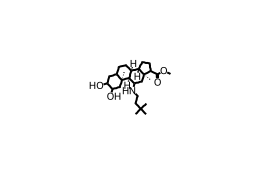 COC(=O)C1CC[C@H]2[C@@H]3CCC4CC(O)C(O)C[C@]4(C)[C@@H]3C(NCCC(C)(C)C)C[C@]12C